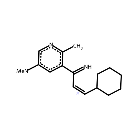 CNc1cnc(C)c(C(=N)/C=C\C2CCCCC2)c1